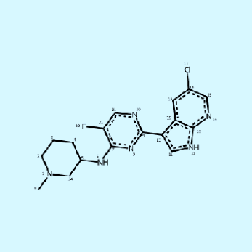 CN1CCCC(Nc2nc(-c3c[nH]c4ncc(Cl)cc34)ncc2F)C1